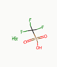 Br.O=S(=O)(O)C(F)(F)F